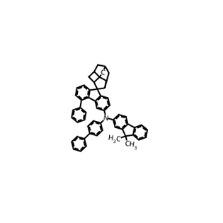 CC1(C)c2ccccc2-c2ccc(N(c3ccc(-c4ccccc4)cc3)c3ccc4c(c3)-c3c(-c5ccccc5)cccc3C43C4CC5CC6CC3C6(C5)C4)cc21